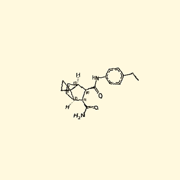 CCc1ccc(NC(=O)[C@H]2[C@@H](C(N)=O)[C@H]3C=C[C@@H]2C32CC2)cc1